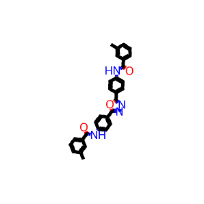 Cc1cccc(C(=O)Nc2ccc(-c3nnc(-c4ccc(NC(=O)c5cccc(C)c5)cc4)o3)cc2)c1